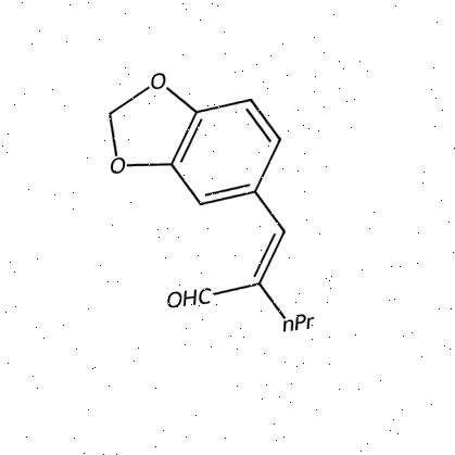 CCCC(C=O)=Cc1ccc2c(c1)OCO2